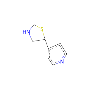 c1cc(C2CNCS2)ccn1